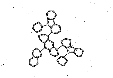 c1ccc(-n2c3ccccc3c3cccc(-c4cccc5c(-c6ccc7ccccc7c6)c6cccc(-c7cccc8c9ccccc9n(-c9ccccc9)c78)c6cc45)c32)cc1